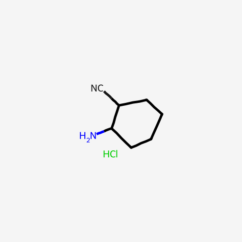 Cl.N#CC1CCCCC1N